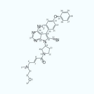 COCCN(C)CC=CC(=O)N1CCC(n2c(C#N)c(-c3ccc(Oc4ccccc4)cc3)c3c(N)ncnc32)C1